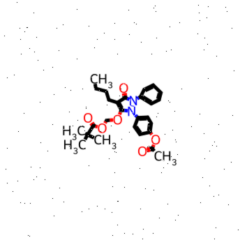 CCCCc1c(OCOC(=O)C(C)(C)C)n(-c2ccc(OC(C)=O)cc2)n(-c2ccccc2)c1=O